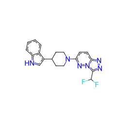 FC(F)c1nnc2ccc(N3CCC(c4c[nH]c5ccccc45)CC3)nn12